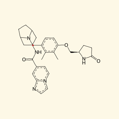 Cc1c(CN2C3CCC2CC(NC(=O)c2ccn4ccnc4c2)C3)ccc(OC[C@H]2CCC(=O)N2)c1C